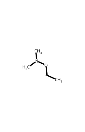 C[CH]ON(C)C